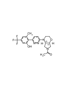 CC(=O)N1C[C@@H]2OCCN(c3ccc(-c4c(C)cc(C(F)(F)F)cc4O)nn3)[C@@H]2C1